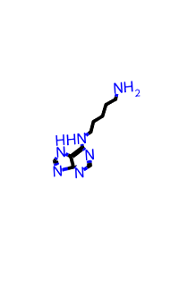 NCCCCCNc1ncnc2nc[nH]c12